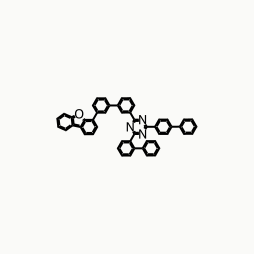 c1ccc(-c2ccc(-c3nc(-c4cccc(-c5cccc(-c6cccc7c6oc6ccccc67)c5)c4)nc(-c4ccccc4-c4ccccc4)n3)cc2)cc1